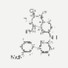 CNc1cccc(-c2ccnc(Nc3ccc4c(c3)N(C(C)C)[C@H](C)C(=O)N4C)n2)c1